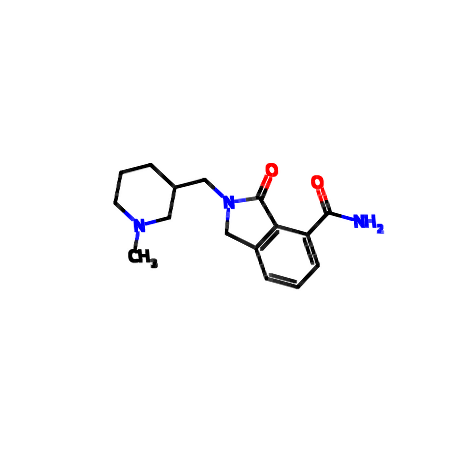 CN1CCCC(CN2Cc3cccc(C(N)=O)c3C2=O)C1